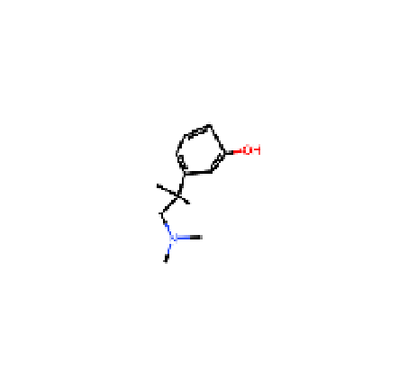 CN(C)CC(C)(C)c1cccc(O)c1